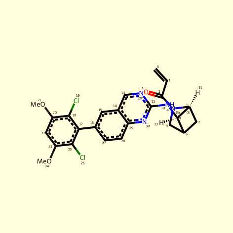 C=CC(=O)N1CC2C[C@H]1[C@@H]2Nc1ncc2cc(-c3c(Cl)c(OC)cc(OC)c3Cl)ccc2n1